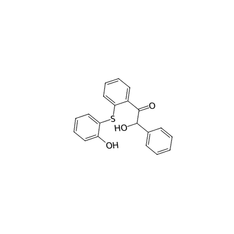 O=C(c1ccccc1Sc1ccccc1O)C(O)c1ccccc1